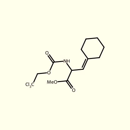 COC(=O)C(C=C1CCCCC1)NC(=O)OCC(Cl)(Cl)Cl